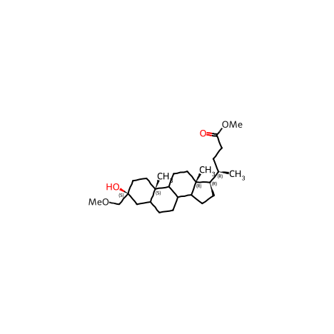 COC[C@]1(O)CC[C@@]2(C)C(CCC3C2CC[C@@]2(C)C3CC[C@@H]2[C@H](C)CCC(=O)OC)C1